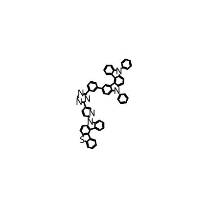 c1ccc(-n2c3ccccc3c3c4c5cc(-c6cccc(-c7ncnc(-c8ccc(-n9c%10ccccc%10c%10c%11c(ccc%109)sc9ccccc9%11)nc8)n7)c6)ccc5n(-c5ccccc5)c4ccc32)cc1